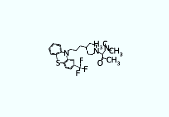 CC(=O)C(N(C)C)N1CCC(CCCN2c3ccccc3Sc3ccc(C(F)(F)F)cc32)CC1